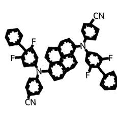 N#Cc1ccc(N(c2cc(F)c(-c3ccccc3)c(F)c2)c2ccc3ccc4c(N(c5ccc(C#N)cc5)c5cc(F)c(-c6ccccc6)c(F)c5)ccc5ccc2c3c54)cc1